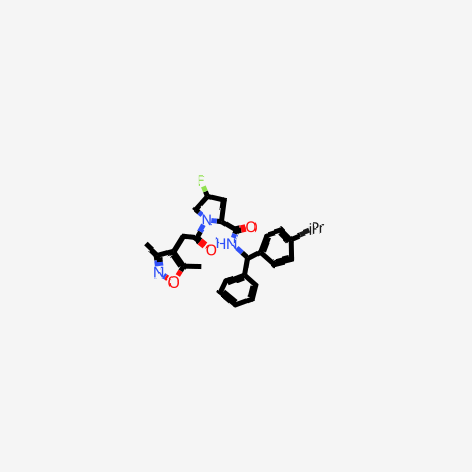 Cc1noc(C)c1CC(=O)N1CC(F)CC1C(=O)NC(c1ccccc1)c1ccc(C(C)C)cc1